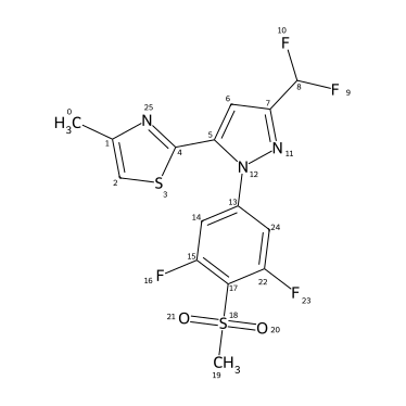 Cc1csc(-c2cc(C(F)F)nn2-c2cc(F)c(S(C)(=O)=O)c(F)c2)n1